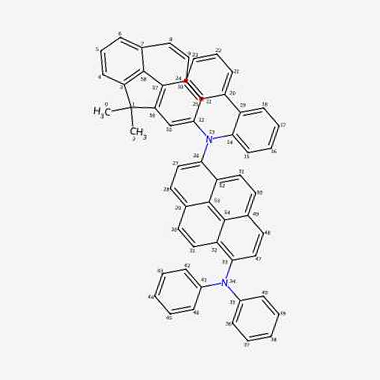 CC1(C)c2cccc3ccc4cc(N(c5ccccc5-c5ccccc5)c5ccc6ccc7c(N(c8ccccc8)c8ccccc8)ccc8ccc5c6c87)cc1c4c23